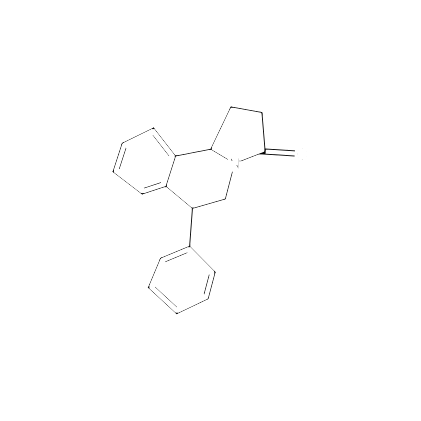 O=C1CCC2c3ccccc3C(c3ccccc3)CN12